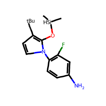 C[SiH](C)Oc1c(C(C)(C)C)ccn1-c1ccc(N)cc1F